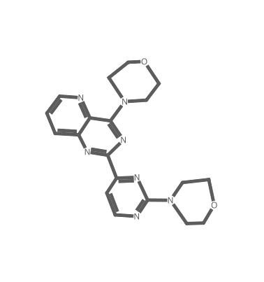 c1cnc2c(N3CCOCC3)nc(-c3ccnc(N4CCOCC4)n3)nc2c1